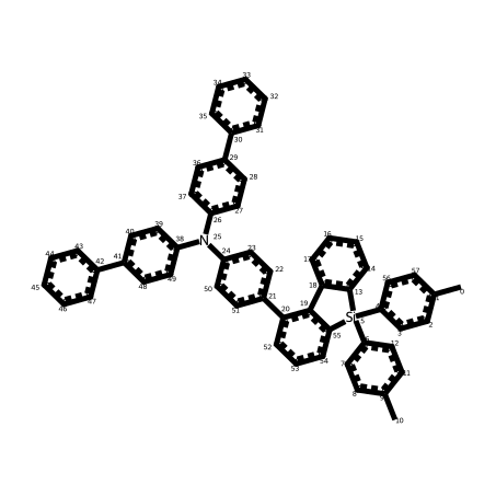 Cc1ccc([Si]2(c3ccc(C)cc3)c3ccccc3-c3c(-c4ccc(N(c5ccc(-c6ccccc6)cc5)c5ccc(-c6ccccc6)cc5)cc4)cccc32)cc1